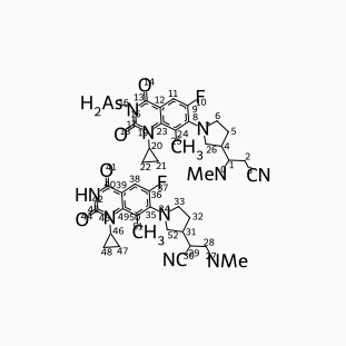 CNC(CC#N)C1CCN(c2c(F)cc3c(=O)n([AsH2])c(=O)n(C4CC4)c3c2C)C1.CNCC(C#N)C1CCN(c2c(F)cc3c(=O)[nH]c(=O)n(C4CC4)c3c2C)C1